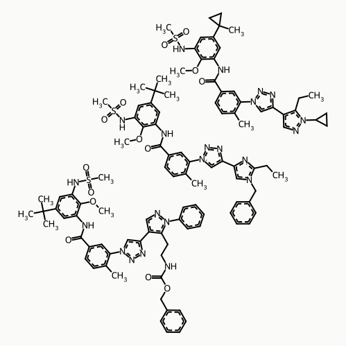 CCc1c(-c2cn(-c3cc(C(=O)Nc4cc(C5(C)CC5)cc(NS(C)(=O)=O)c4OC)ccc3C)nn2)cnn1C1CC1.CCc1nc(-c2cn(-c3cc(C(=O)Nc4cc(C(C)(C)C)cc(NS(C)(=O)=O)c4OC)ccc3C)nn2)cn1Cc1ccccc1.COc1c(NC(=O)c2ccc(C)c(-n3cc(-c4cnn(-c5ccccc5)c4CCNC(=O)OCc4ccccc4)nn3)c2)cc(C(C)(C)C)cc1NS(C)(=O)=O